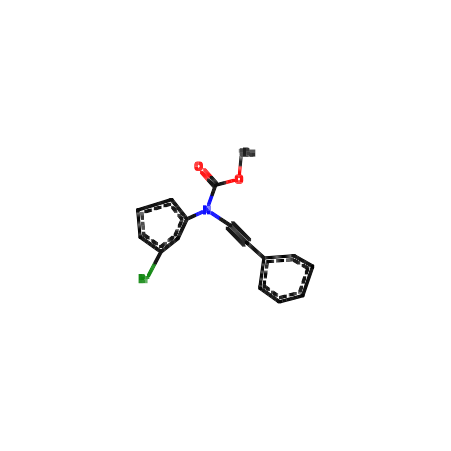 CC(C)(C)OC(=O)N(C#Cc1ccccc1)c1cccc(Br)c1